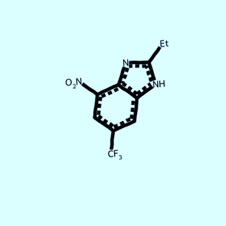 CCc1nc2c([N+](=O)[O-])cc(C(F)(F)F)cc2[nH]1